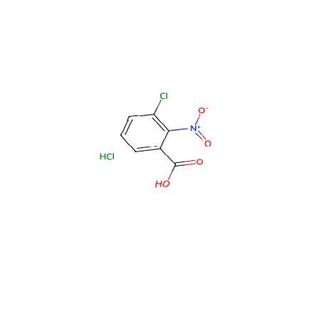 Cl.O=C(O)c1cccc(Cl)c1[N+](=O)[O-]